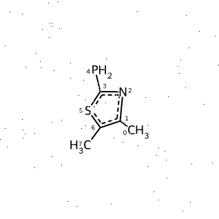 Cc1nc(P)sc1C